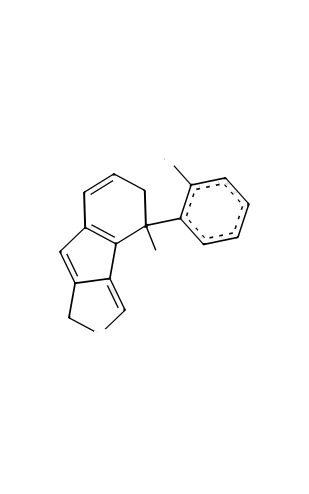 Cc1ccccc1C1(O)CC=CC2=C1C1=CSCC1=C2